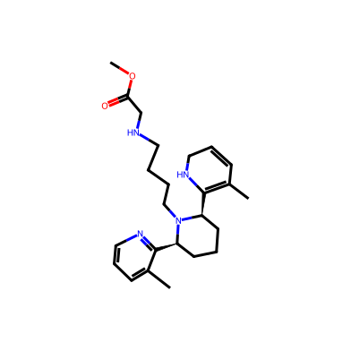 COC(=O)CNCCCCN1[C@@H](C2=C(C)C=CCN2)CCC[C@H]1c1ncccc1C